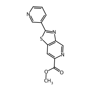 COC(=O)c1cc2sc(-c3cccnc3)nc2cn1